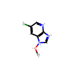 CCOn1cnc2ncc(Cl)cc21